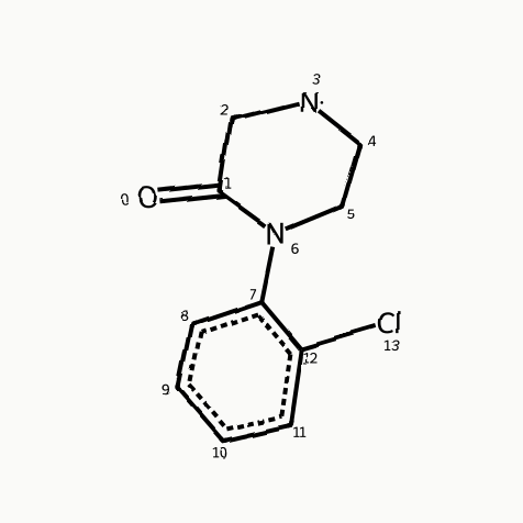 O=C1C[N]CCN1c1ccccc1Cl